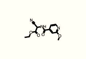 CCOC(=O)C(C#N)NC(=O)c1ccnc(OC)c1